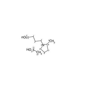 CCCCCCCCCCCN1CCCC1C.CS(=O)(=O)O